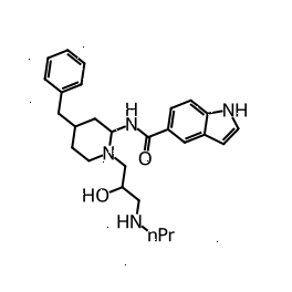 CCCNCC(O)CN1CCC(Cc2ccccc2)CC1NC(=O)c1ccc2[nH]ccc2c1